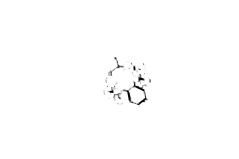 CC1COS(=O)(=O)c2ccccc2S(=O)(=O)O1